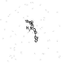 CC(C)(C)OC(=O)N1CCC(c2ccc(OCCCOCc3ccccc3F)cc2)C(N)C1